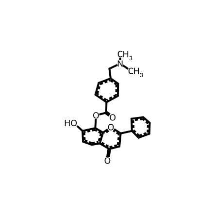 CN(C)Cc1ccc(C(=O)Oc2c(O)ccc3c(=O)cc(-c4ccccc4)oc23)cc1